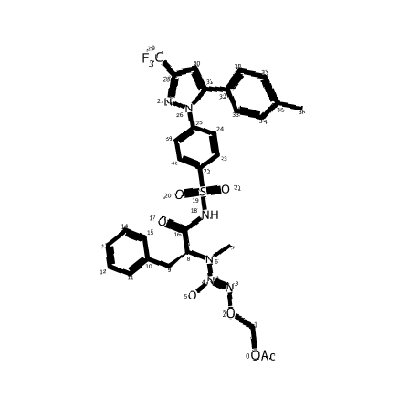 CC(=O)OCO/N=[N+](\[O-])N(C)[C@@H](Cc1ccccc1)C(=O)NS(=O)(=O)c1ccc(-n2nc(C(F)(F)F)cc2-c2ccc(C)cc2)cc1